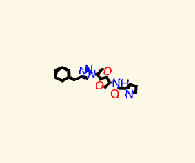 O=C(NC1COC2C1OCC2n1cc(CC2CCCCC2)nn1)C1=CCC=N1